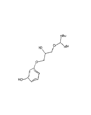 CCCCC(CCCC)OCC(O)COc1cccc(O)c1